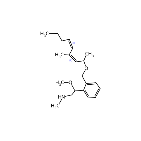 CCC/C=C\C(C)=C/C(C)OCc1ccccc1C(CNC)OC